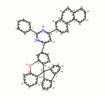 c1ccc(-c2nc(-c3ccc4c(c3)Oc3ccccc3C43c4ccccc4-c4ccccc43)cc(-c3ccc4c(ccc5ccccc54)c3)n2)cc1